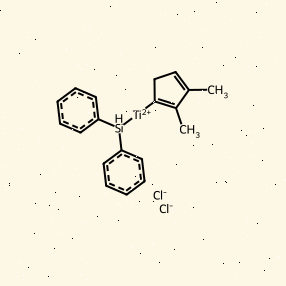 CC1=CC[C]([Ti+2][SiH](c2ccccc2)c2ccccc2)=C1C.[Cl-].[Cl-]